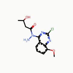 COc1cccc2c(N(N)C(=O)CC(C)O)nc(Cl)nc12